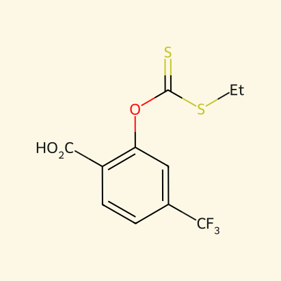 CCSC(=S)Oc1cc(C(F)(F)F)ccc1C(=O)O